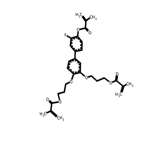 C=C(C)C(=O)OCCCOc1ccc(-c2ccc(OC(=O)C(=C)C)c(F)c2)cc1OCCCOC(=O)C(=C)C